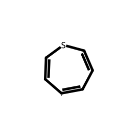 [C]1=CC=CSC=C1